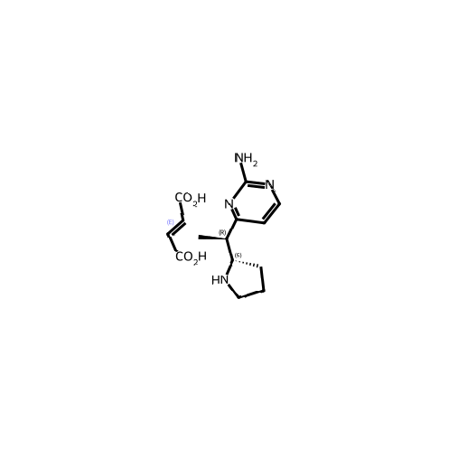 C[C@@H](c1ccnc(N)n1)[C@@H]1CCCN1.O=C(O)/C=C/C(=O)O